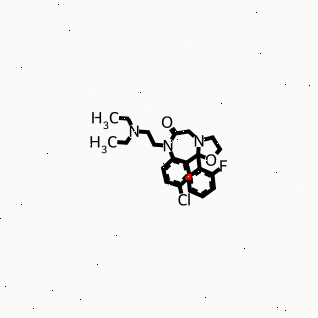 CCN(CC)CCN1C(=O)CN2CCOC2(c2ccccc2F)c2cc(Cl)ccc21